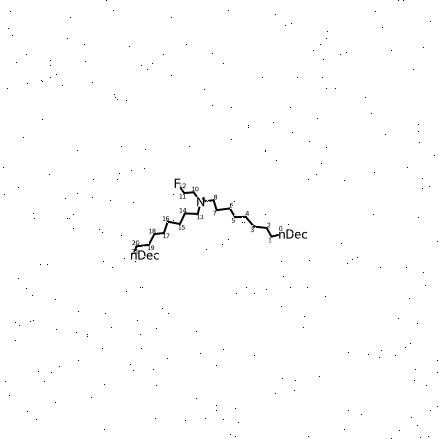 CCCCCCCCCCCCCCCCCCN(CCF)CCCCCCCCCCCCCCCCCC